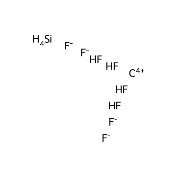 F.F.F.F.[C+4].[F-].[F-].[F-].[F-].[SiH4]